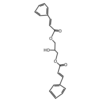 O=C(C=Cc1ccccc1)OCC(O)COC(=O)C=Cc1ccccc1